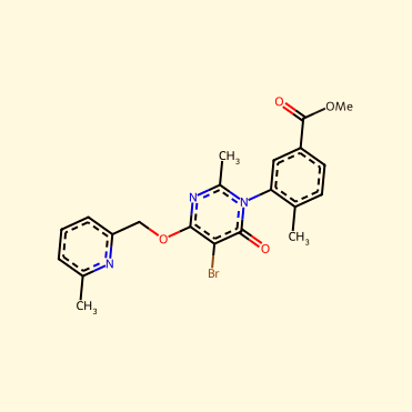 COC(=O)c1ccc(C)c(-n2c(C)nc(OCc3cccc(C)n3)c(Br)c2=O)c1